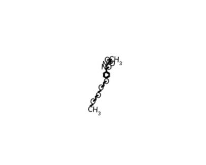 CCCOCCOCCOCCOc1ccc(-c2nnc(S(C)(=O)=O)o2)cc1